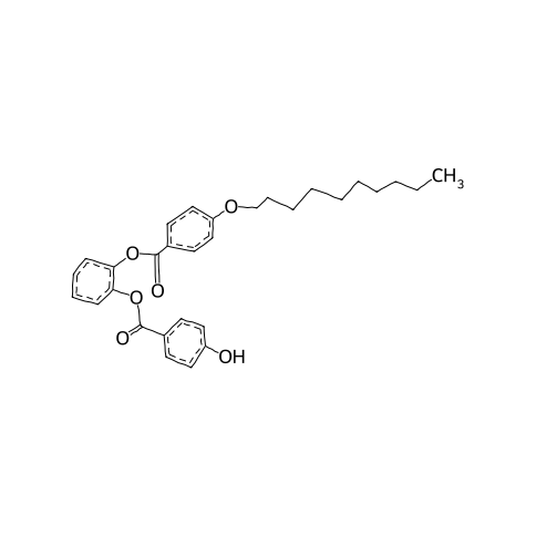 CCCCCCCCCCOc1ccc(C(=O)Oc2ccccc2OC(=O)c2ccc(O)cc2)cc1